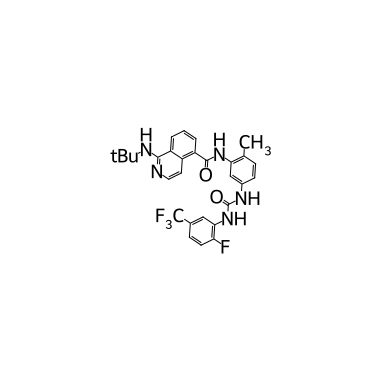 Cc1ccc(NC(=O)Nc2cc(C(F)(F)F)ccc2F)cc1NC(=O)c1cccc2c(NC(C)(C)C)nccc12